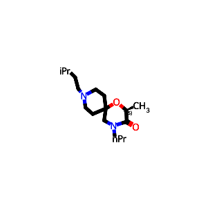 CCCN1CC2(CCN(CCC(C)C)CC2)O[C@@H](C)C1=O